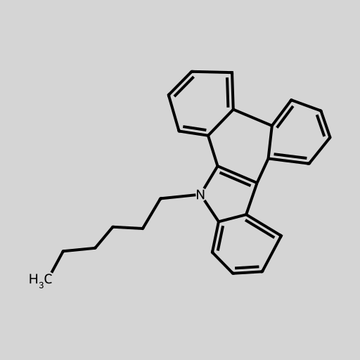 CCCCCCn1c2ccccc2c2c3ccccc3c3ccccc3c21